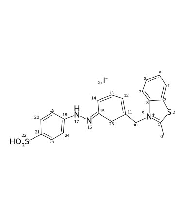 Cc1sc2ccccc2[n+]1CC1=CC=C/C(=N\Nc2ccc(S(=O)(=O)O)cc2)C1.[I-]